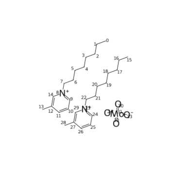 CCCCCCCC[n+]1cccc(C)c1.CCCCCCCC[n+]1cccc(C)c1.[O]=[Mo](=[O])([O-])[O-]